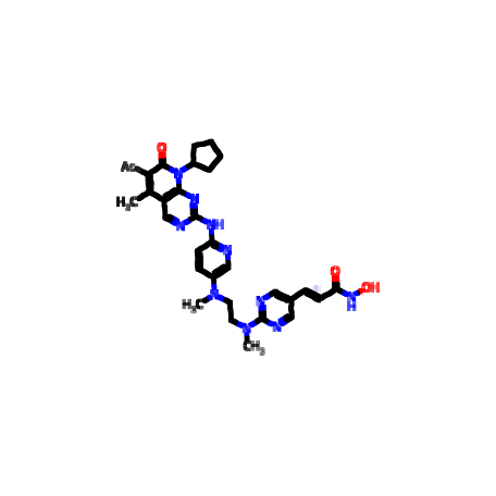 CC(=O)c1c(C)c2cnc(Nc3ccc(N(C)CCN(C)c4ncc(/C=C/C(=O)NO)cn4)cn3)nc2n(C2CCCC2)c1=O